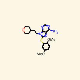 COc1ccc(OC)c(Sc2nc3c(N)ncnc3n2CCC2CCOCC2)c1